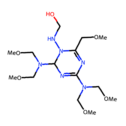 COCC1=NC(N(COC)COC)=NC(N(COC)COC)N1NCO